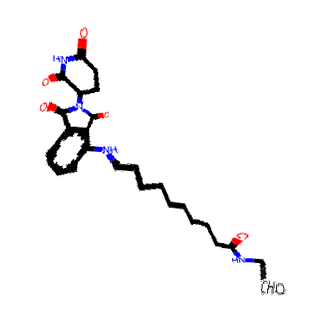 O=CCNC(=O)CCCCCCCCCNc1cccc2c1C(=O)N(C1CCC(=O)NC1=O)C2=O